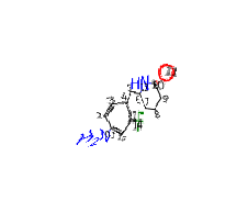 Nc1ccc(CC2CCCC(=O)N2)c(F)c1